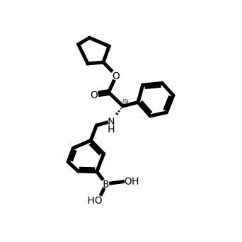 O=C(OC1CCCC1)[C@@H](NCc1cccc(B(O)O)c1)c1ccccc1